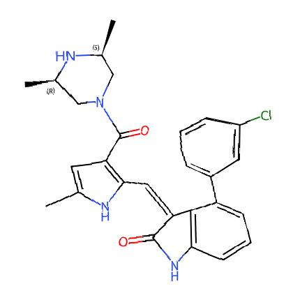 Cc1cc(C(=O)N2C[C@@H](C)N[C@@H](C)C2)c(C=C2C(=O)Nc3cccc(-c4cccc(Cl)c4)c32)[nH]1